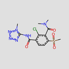 CN(C)C(=O)c1c(S(C)(=O)=O)ccc(C(=O)Nc2nnnn2C)c1Cl